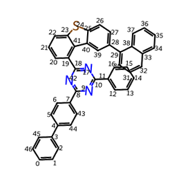 c1ccc(-c2ccc(-c3nc(-c4ccccc4)nc(-c4cccc5sc6ccc(-c7cccc8ccccc78)cc6c45)n3)cc2)cc1